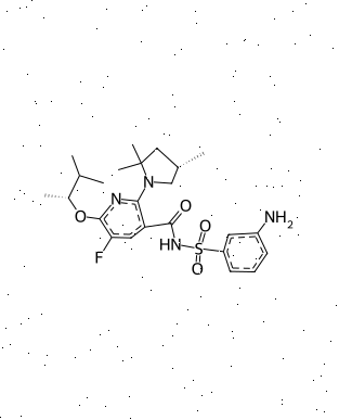 CC(C)[C@@H](C)Oc1nc(N2C[C@@H](C)CC2(C)C)c(C(=O)NS(=O)(=O)c2cccc(N)c2)cc1F